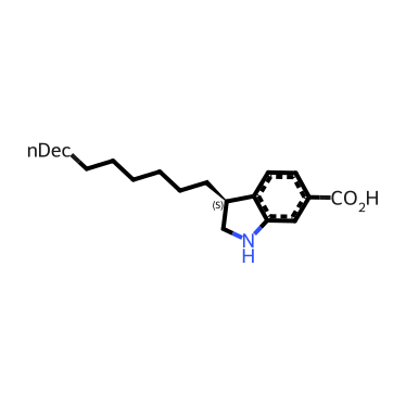 CCCCCCCCCCCCCCCC[C@@H]1CNc2cc(C(=O)O)ccc21